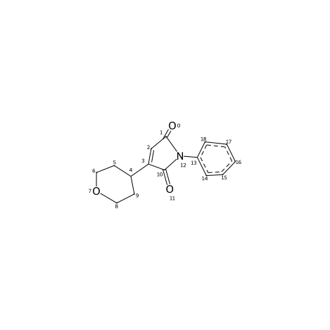 O=C1C=C(C2CCOCC2)C(=O)N1c1ccccc1